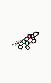 CC1(C)c2ccccc2-c2c(-c3ccccc3N(c3cccc(-c4ccccc4)c3-c3ccccc3-c3ccccc3)c3cccc4sc5ccccc5c34)cccc21